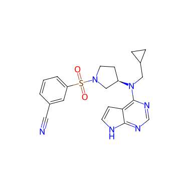 N#Cc1cccc(S(=O)(=O)N2CC[C@@H](N(CC3CC3)c3ncnc4[nH]ccc34)C2)c1